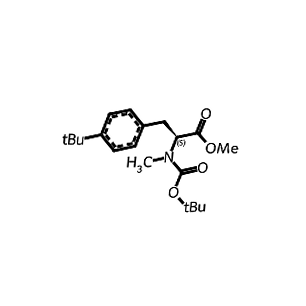 COC(=O)[C@H](Cc1ccc(C(C)(C)C)cc1)N(C)C(=O)OC(C)(C)C